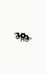 CC[S+]([O-])c1ccc(C[C@H](C)O)cc1